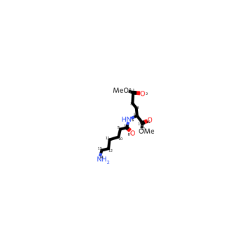 COC(=O)CCC(NC(=O)CCCCCN)C(=O)OC